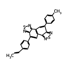 C/C=C/c1ccc(-c2cc3c(cc(-c4ccc(C)cc4)c4nsnc43)c3nsnc23)cc1